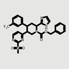 CS(=O)(=O)c1nccc(C2CN(C(=O)OCc3ccccc3)C(c3ncc[nH]3)CC2c2cccc(C(F)(F)F)c2)n1